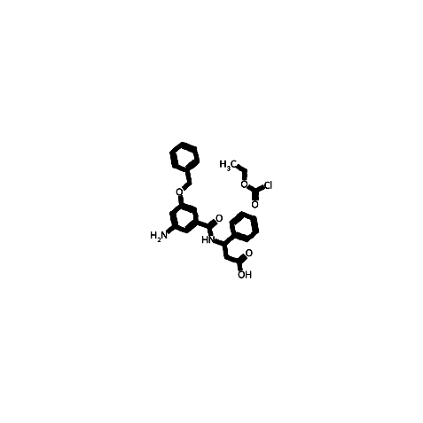 CCOC(=O)Cl.Nc1cc(OCc2ccccc2)cc(C(=O)NC(CC(=O)O)c2ccccc2)c1